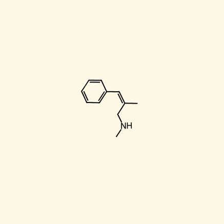 CNCC(C)=Cc1ccccc1